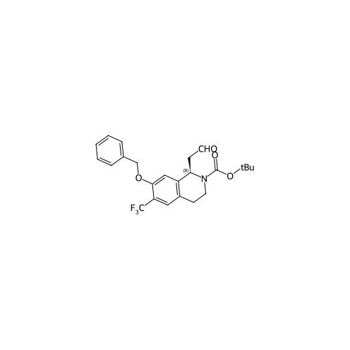 CC(C)(C)OC(=O)N1CCc2cc(C(F)(F)F)c(OCc3ccccc3)cc2[C@H]1CC=O